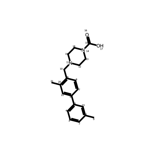 Cc1cccc(-c2ccc(CN3CCN(C(=O)O)CC3)c(C)c2)c1